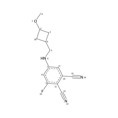 COC1CC(CNc2cc(F)c(C#N)c(C#N)c2)C1